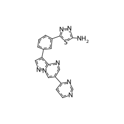 Nc1nnc(-c2cccc(-c3cnn4cc(-c5ccncn5)cnc34)c2)s1